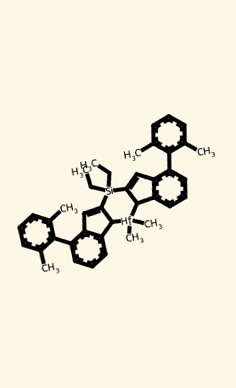 CC[Si]1(CC)C2=Cc3c(-c4c(C)cccc4C)cccc3[CH]2[Hf]([CH3])([CH3])[CH]2C1=Cc1c(-c3c(C)cccc3C)cccc12